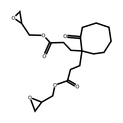 O=C(CCC1(CCC(=O)OCC2CO2)CCCCCCC1=O)OCC1CO1